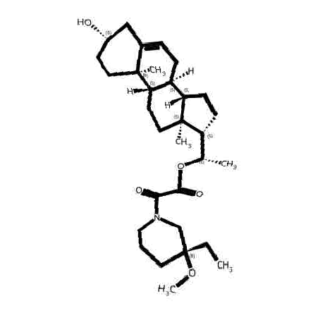 CC[C@@]1(OC)CCCN(C(=O)C(=O)O[C@@H](C)[C@H]2CC[C@H]3[C@@H]4CC=C5C[C@@H](O)CC[C@]5(C)[C@H]4CC[C@]23C)C1